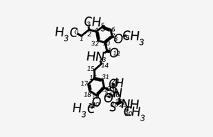 CCC(C)c1ccc(OC)c(C(=O)NCCc2ccc(OC)c(S(=O)(=O)NC(=S)NC)c2)c1